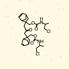 CC(CCl)NC(=O)OCC1(CC(=O)CC2(COC(=O)NC(C)CCl)CC3C=CC2C3)CC2C=CC1C2